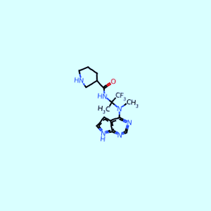 CN(c1ncnc2[nH]ccc12)C(C)(NC(=O)C1CCCNC1)C(F)(F)F